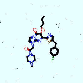 CCCCOc1c(-c2ncc(Cc3ccc(F)cc3)s2)nc2n(CC(=O)N3CCN(C)CC3)ccn2c1=O